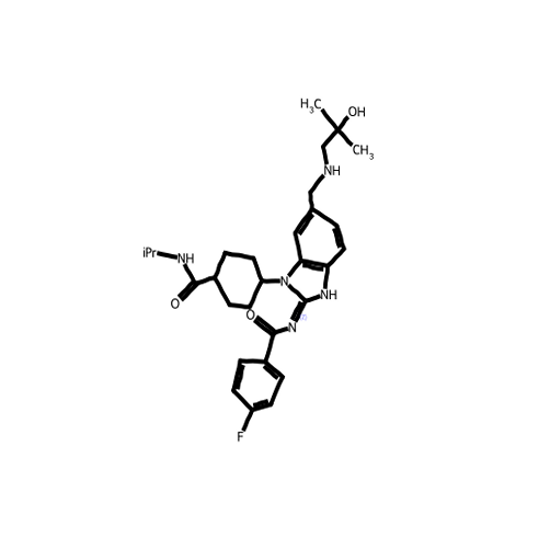 CC(C)NC(=O)C1CCC(n2/c(=N\C(=O)c3ccc(F)cc3)[nH]c3ccc(CNCC(C)(C)O)cc32)CC1